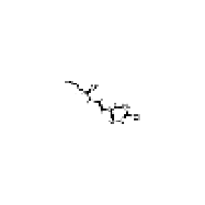 CCOC(=O)C/C=C/c1cnc(Cl)nc1